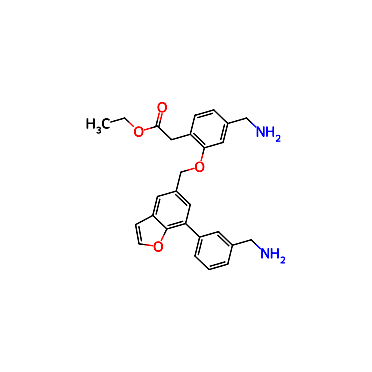 CCOC(=O)Cc1ccc(CN)cc1OCc1cc(-c2cccc(CN)c2)c2occc2c1